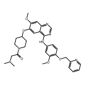 COc1cc(Nc2ncnc3cc(OC)c(OC4CCN(C(=O)CN(C)C)CC4)cc23)ccc1OCc1ccccn1